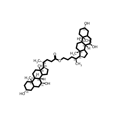 C[C@H](CCC(=O)OCCC[C@H](C)[C@@H]1CCC2[C@H]3[C@H](O)CC4C[C@@H](O)CC[C@@]4(C)[C@@H]3CC[C@]21C)[C@H]1CCC2[C@@H]3[C@@H](O)CC4C[C@H](O)CC[C@]4(C)[C@H]3CC[C@@]21C